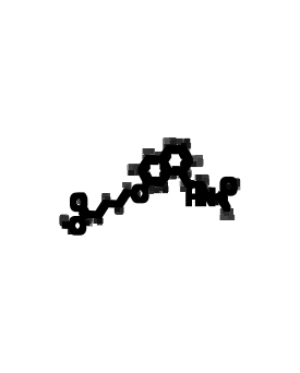 COC(=O)CCCCOc1ccc2cccc(CCNC(C)=O)c2c1